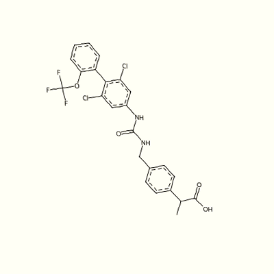 CC(C(=O)O)c1ccc(CNC(=O)Nc2cc(Cl)c(-c3ccccc3OC(F)(F)F)c(Cl)c2)cc1